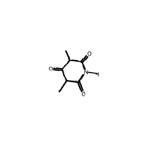 CC1C(=O)C(C)C(=O)N(I)C1=O